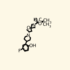 CC(C)(C)OC(=O)N1CC2(C[C@H](N3CCC(c4cc(F)ccc4O)CC3)CO2)C1